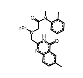 CCCN(CC(=O)N(C)c1ccccc1C)Cc1nc2ccc(C)cc2c(=O)[nH]1